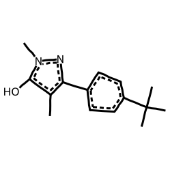 Cc1c(-c2ccc(C(C)(C)C)cc2)nn(C)c1O